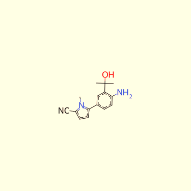 Cn1c(C#N)ccc1-c1ccc(N)c(C(C)(C)O)c1